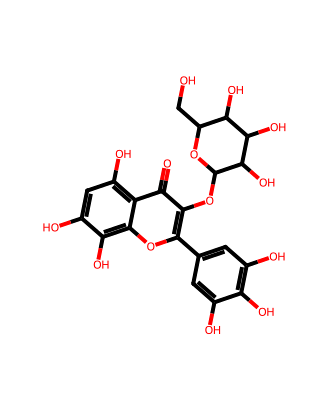 O=c1c(OC2OC(CO)C(O)C(O)C2O)c(-c2cc(O)c(O)c(O)c2)oc2c(O)c(O)cc(O)c12